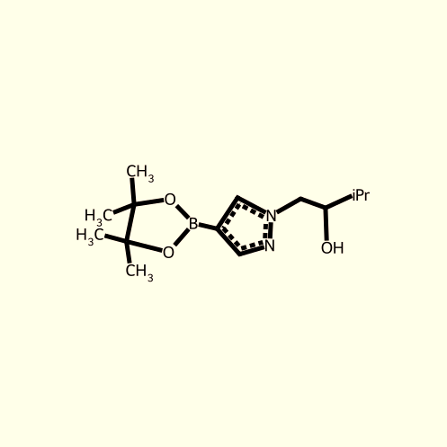 CC(C)C(O)Cn1cc(B2OC(C)(C)C(C)(C)O2)cn1